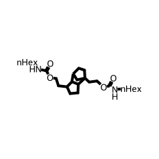 CCCCCCNC(=O)OCCC1CCC2C1C1CCC2(CCOC(=O)NCCCCCC)C1